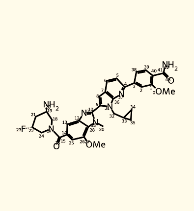 COc1cc(-c2ccc3cc(-c4nc5cc(C(=O)N6C[C@H](N)C[C@@H](F)C6)cc(OC)c5n4C)n(CC4CC4)c3n2)ccc1C(N)=O